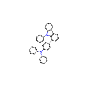 c1ccc(N(c2ccccc2)c2ccc(-c3cccc4c5ccccc5n(-c5ccccc5)c34)cc2)cc1